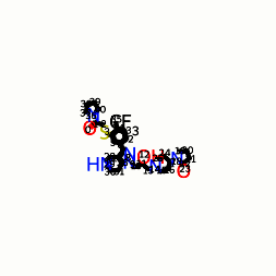 O=C(CSc1cc(-c2nn(CC(O)CN3CCC(N4CCCC4=O)CC3)c3c2CNCC3)ccc1C(F)(F)F)N1CCCC1